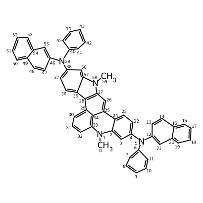 CN1c2cc(N(c3ccccc3)c3ccc4ccccc4c3)ccc2-c2cc3c(c4cccc1c24)c1ccc(N(c2ccccc2)c2ccc4ccccc4c2)cc1n3C